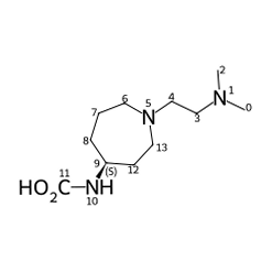 CN(C)CCN1CCC[C@H](NC(=O)O)CC1